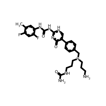 Cc1cc(NC(=O)Nc2nc(=O)c(-c3ccc(CN(CCCN)CCCNC(N)=O)cc3)c[nH]2)c(F)cc1F